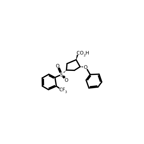 O=C(O)[C@@H]1C[C@@H](S(=O)(=O)c2ccccc2C(F)(F)F)C[C@H]1Oc1ccccc1